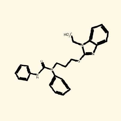 O=C(O)Cn1c(SCCCN(C(=O)Nc2ccccc2)c2ccccc2)nc2ccccc21